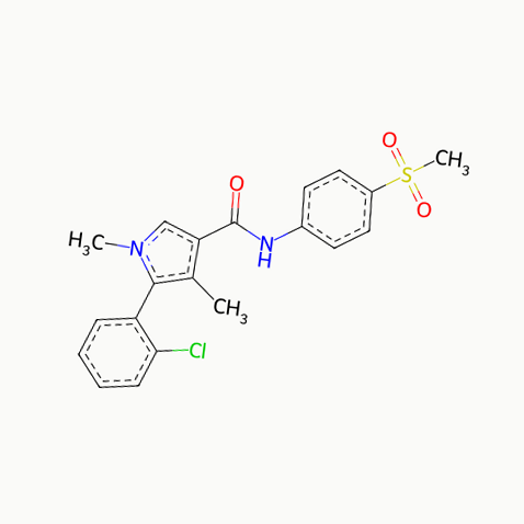 Cc1c(C(=O)Nc2ccc(S(C)(=O)=O)cc2)cn(C)c1-c1ccccc1Cl